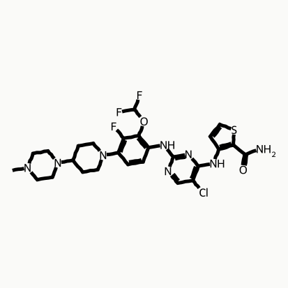 CN1CCN(C2CCN(c3ccc(Nc4ncc(Cl)c(Nc5ccsc5C(N)=O)n4)c(OC(F)F)c3F)CC2)CC1